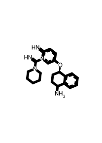 N=C(N1CCCCC1)n1cc(O[C@@H]2CCC(N)c3ccccc32)ccc1=N